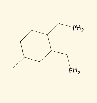 CC1CCC(CP)C(CP)C1